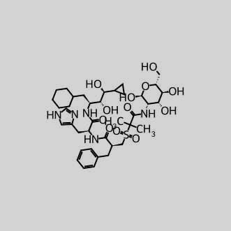 CC(C)(C(=O)N[C@H]1[C@@H](O)[C@H](O)[C@@H](CO)O[C@@H]1O)S(=O)(=O)C[C@@H](Cc1ccccc1)C(=O)N[C@@H](Cc1c[nH]cn1)C(=O)N[C@@H](CC1CCCCC1)[C@@H](O)[C@@H](O)C1CC1